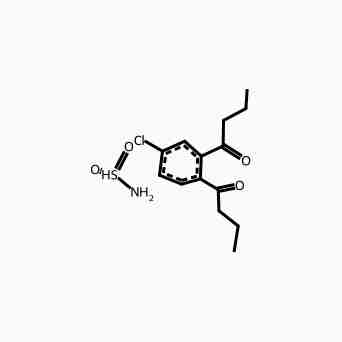 CCCC(=O)c1ccc(Cl)cc1C(=O)CCC.N[SH](=O)=O